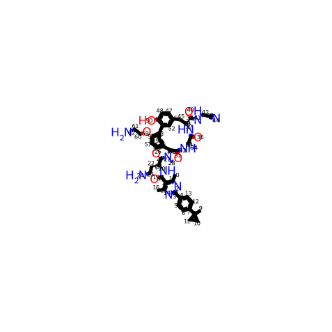 Cc1nc(-c2ccc(C3(C)CC3)cc2)nc(C)c1C(=O)N[C@@H](CCN)C(=O)N(C)[C@@H]1C(=O)N[C@@H](C)C(=O)N[C@H](C(=O)NCC#N)Cc2ccc(O)c(c2)-c2cc1ccc2OCCN